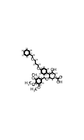 COc1cc(COC2CN(C(=O)O)CC(O)C2c2ccc(OCCCOCc3ccccc3)cc2)cc(OC)c1OC